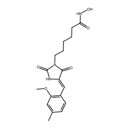 COc1cc(C)ccc1C=C1NC(=O)N(CCCCCC(=O)NO)C1=O